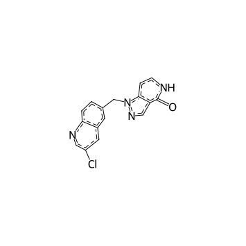 O=c1[nH]ccc2c1cnn2Cc1ccc2ncc(Cl)cc2c1